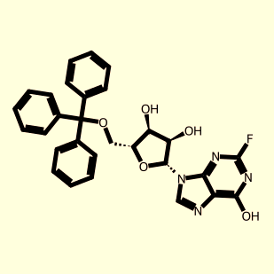 Oc1nc(F)nc2c1ncn2[C@@H]1O[C@H](COC(c2ccccc2)(c2ccccc2)c2ccccc2)[C@@H](O)[C@H]1O